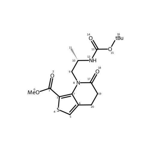 COC(=O)c1scc2c1N(C[C@H](C)NC(=O)OC(C)(C)C)C(=O)CC2